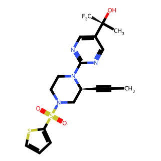 CC#C[C@H]1CN(S(=O)(=O)c2cccs2)CCN1c1ncc([C@@](C)(O)C(F)(F)F)cn1